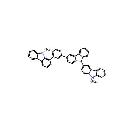 CC(C)(C)n1c2ccccc2c2cc(C3c4ccccc4-c4cc(-c5cccc(-c6cccc7c8ccccc8n(C(C)(C)C)c67)c5)ccc43)ccc21